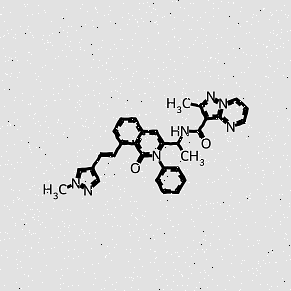 Cc1nn2cccnc2c1C(=O)NC(C)c1cc2cccc(/C=C/c3cnn(C)c3)c2c(=O)n1-c1ccccc1